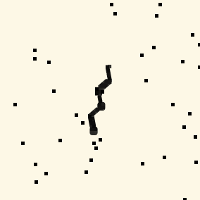 [CH2]C=NOC=O